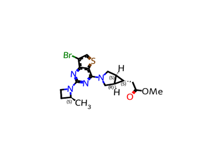 COC(=O)C[C@@H]1[C@H]2CN(c3nc(N4CC[C@@H]4C)nc4c(Br)csc34)C[C@@H]12